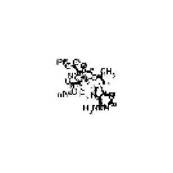 CCCOC(=O)C(C)(C)NP(=O)(CO[C@H](C)Cn1cnc2c(N)ncnc21)C(C#N)C(=O)OC(C)C